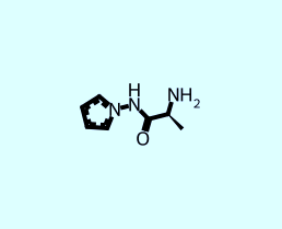 C[C@H](N)C(=O)Nn1cccc1